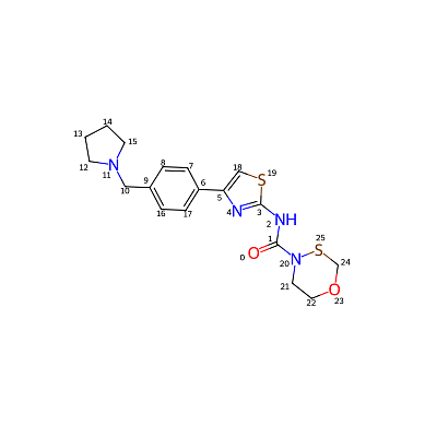 O=C(Nc1nc(-c2ccc(CN3CCCC3)cc2)cs1)N1CCOCS1